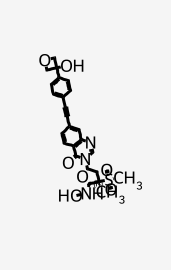 C[C@@](CCn1cnc2cc(C#Cc3ccc(C4(O)COC4)cc3)ccc2c1=O)(C(=O)NO)S(C)(=O)=O